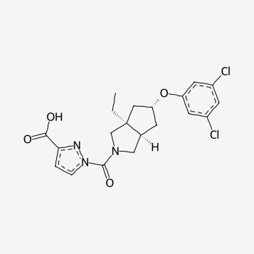 CC[C@]12C[C@H](Oc3cc(Cl)cc(Cl)c3)C[C@H]1CN(C(=O)n1ccc(C(=O)O)n1)C2